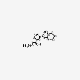 NCC[C@@H](O)c1cccc(OCC2CCCCC2O)c1